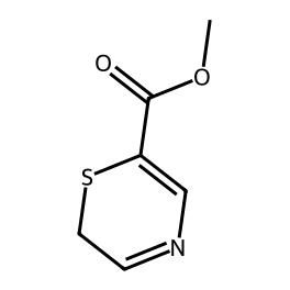 COC(=O)C1=CN=CCS1